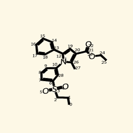 CCCS(=O)(=O)c1cccc(-n2c(-c3ccccc3)cc(C(=O)OCC)c2C)c1